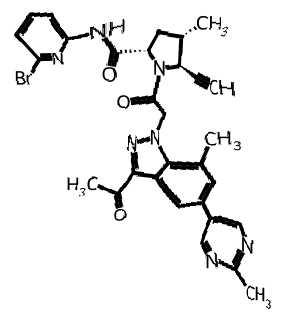 C#C[C@@H]1[C@@H](C)C[C@@H](C(=O)Nc2cccc(Br)n2)N1C(=O)Cn1nc(C(C)=O)c2cc(-c3cnc(C)nc3)cc(C)c21